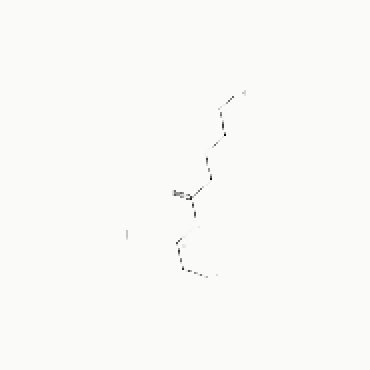 CC(C)C[C@@H](NC(=O)CCCCBr)C(=O)O